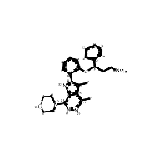 CNCCC(Oc1ccccc1-n1nc2c(N3CCOCC3)nnc(C)c2c1C)c1ccccc1